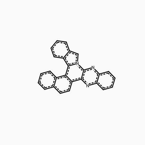 c1ccc2c(c1)ccc1c3nc4ccccc4nc3n3cc4ccccc4c3c21